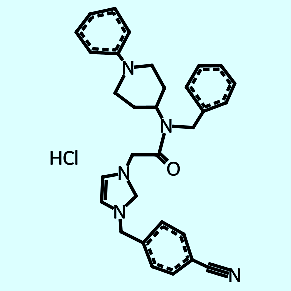 Cl.N#Cc1ccc(CN2C=CN(CC(=O)N(Cc3ccccc3)C3CCN(c4ccccc4)CC3)C2)cc1